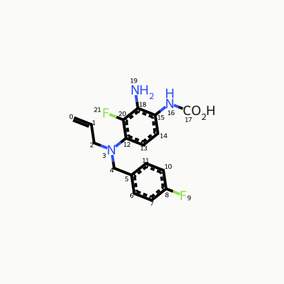 C=CCN(Cc1ccc(F)cc1)c1ccc(NC(=O)O)c(N)c1F